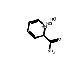 Cl.Cl.NC(=O)C1C=CC=CN1